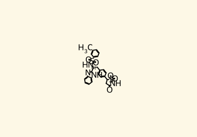 Cc1cccc(S(=O)(=O)N[C@@H](Cc2ccc(C3CC(=O)NS3(=O)=O)cc2)c2nc3ccccc3[nH]2)c1